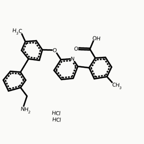 Cc1cc(Oc2cccc(-c3cc(C)ccc3C(=O)O)n2)cc(-c2cccc(CN)c2)c1.Cl.Cl